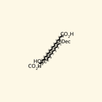 CCCCCCCCCCCCCCCCCCCCCC(=O)O.O=C(O)CCCCCCCCCCCCCCCCCCC(=O)O